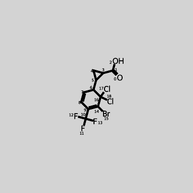 O=C(O)C1CC1C1C=CC(C(F)(F)F)=C(Br)C1(Cl)Cl